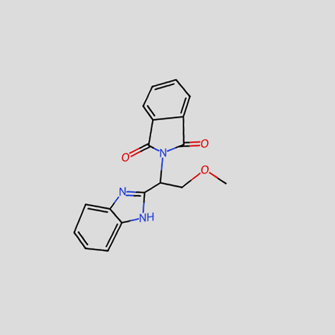 COCC(c1nc2ccccc2[nH]1)N1C(=O)c2ccccc2C1=O